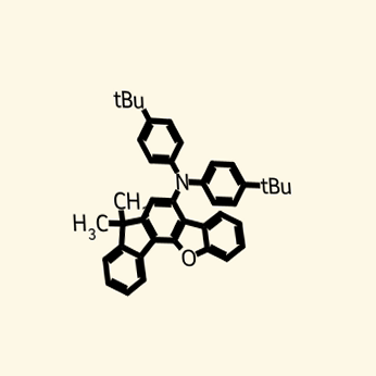 CC(C)(C)c1ccc(N(c2ccc(C(C)(C)C)cc2)c2cc3c(c4oc5ccccc5c24)-c2ccccc2C3(C)C)cc1